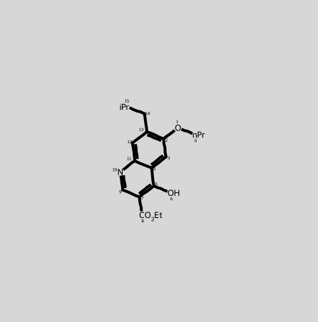 CCCOc1cc2c(O)c(C(=O)OCC)cnc2cc1CC(C)C